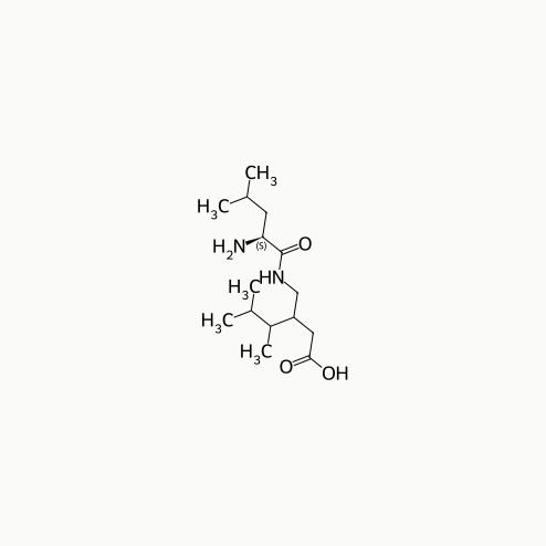 CC(C)C[C@H](N)C(=O)NCC(CC(=O)O)C(C)C(C)C